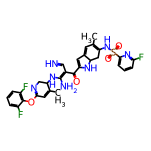 CC1=CC(Oc2c(F)cccc2F)=NCC1N/C(N)=C(\C=N)C(=O)C1=CC2=CC(C)=C(NS(=O)(=O)c3cccc(F)n3)CC2N1